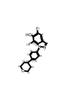 Oc1c(F)cc2cnn(-c3ccc(C4CCOCC4)cc3)c2c1F